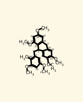 COc1cc(CC2c3cc(OC)c(OC)cc3Cc3cc(OC)cc(OC)c32)c(C)c(OC)c1